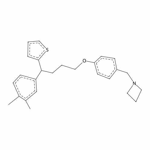 Cc1ccc(C(CCCOc2ccc(CN3CCC3)cc2)c2cccs2)cc1C